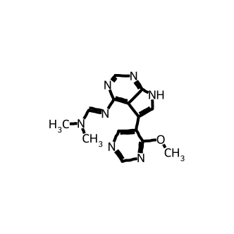 COc1ncncc1-c1c[nH]c2ncnc(N=CN(C)C)c12